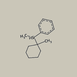 C[SiH](c1ccccc1)C1(C)CCCCC1